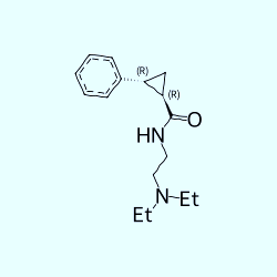 CCN(CC)CCNC(=O)[C@@H]1C[C@H]1c1ccccc1